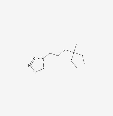 CCC(C)(CC)CCCN1C=NCC1